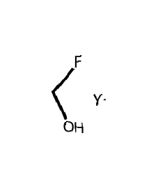 OCF.[Y]